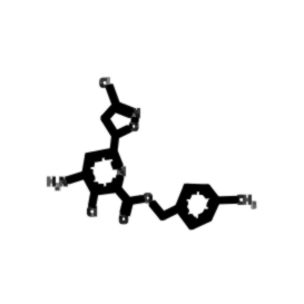 Cc1ccc(COC(=O)c2nc(C3CC(Cl)=NO3)cc(N)c2Cl)cc1